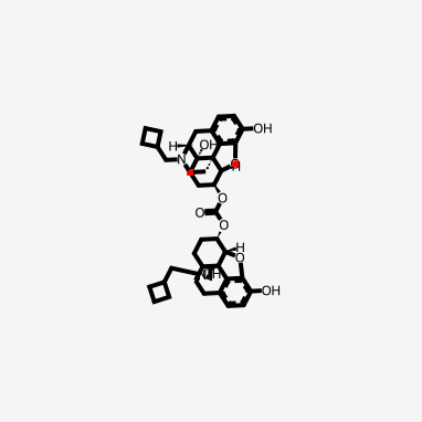 O=C(O[C@H]1CC[C@@]2(O)C3Cc4ccc(O)c5c4[C@@]2(CCN3CC2CCC2)[C@H]1O5)O[C@H]1CC[C@@]2(O)[C@H]3Cc4ccc(O)c5c4[C@@]2(CCN3CC2CCC2)[C@H]1O5